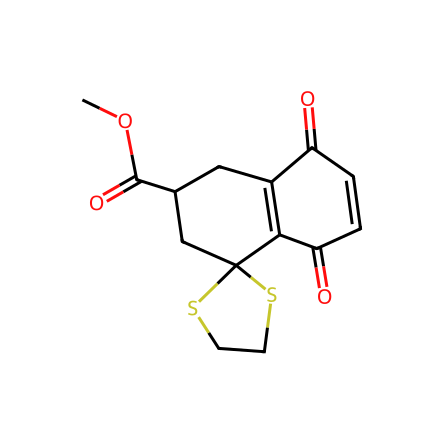 COC(=O)C1CC2=C(C(=O)C=CC2=O)C2(C1)SCCS2